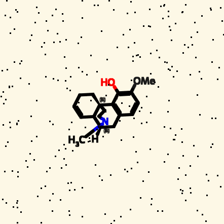 COc1ccc2c(c1O)[C@@]13CCC=CC1[C@@H](C2)N(C)CC3